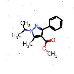 COC(=O)c1c(-c2ccccc2)nn(C(C)C)c1C